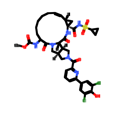 CC(C)(C)OC(=O)N[C@H]1CCCCC/C=C\[C@@H]2C[C@@]2(C(=O)NS(=O)(=O)C2CC2)NC(=O)[C@@H]2[C@H]3CN(C(=O)c4cccc(-c5cc(Cl)c(O)c(Cl)c5)n4)C[C@H]3CN2C1=O